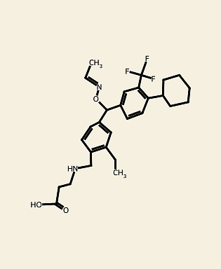 CC=NOC(c1ccc(CNCCC(=O)O)c(CC)c1)c1ccc(C2CCCCC2)c(C(F)(F)F)c1